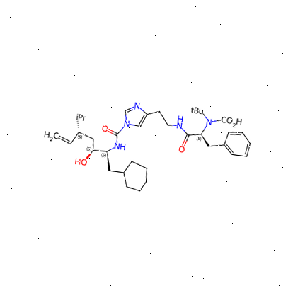 C=C[C@@H](C[C@H](O)[C@H](CC1CCCCC1)NC(=O)n1cnc(CCNC(=O)[C@H](Cc2ccccc2)N(C(=O)O)C(C)(C)C)c1)C(C)C